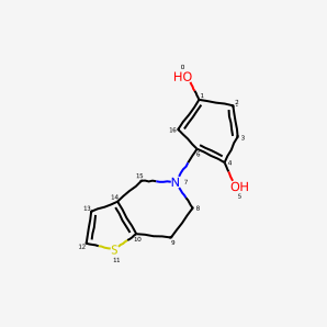 Oc1[c]cc(O)c(N2CCc3sccc3C2)c1